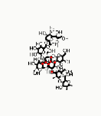 CC1C(O)[C@H](O[C@@H]2OC(CO[C@]3(C(=O)O)C[C@@H](O)[C@@H](N)C([C@H](O)[C@H](O)CO)O3)[C@H](O)C(O)[C@@H]2O)[C@H](CO)O[C@H]1O[C@@H]1C(O)[C@H](O)C(CO)O[C@@H]1OCC1O[C@@H](O[C@@H]2C(CO)O[C@@H](O[C@@H]3C(CO)O[C@@H](C)[C@@H](C)C3O)[C@@H](C)C2O)[C@H](O)C(OC2O[C@H](CO)[C@@H](O)C(O)C2O)[C@@H]1O